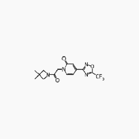 CC1(C)CN(C(=O)Cn2ccc(-c3noc(C(F)(F)F)n3)cc2=O)C1